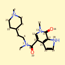 CN1CCC(CCN(C)C(=O)c2cn(C)c(=O)c3[nH]ccc23)CC1